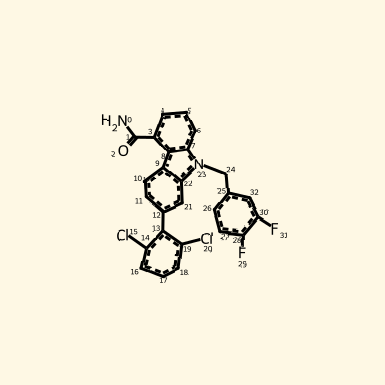 NC(=O)c1cccc2c1c1[c]cc(-c3c(Cl)cccc3Cl)cc1n2Cc1ccc(F)c(F)c1